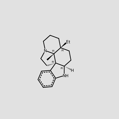 CC[C@@]12CCCN3CC[C@]4(c5ccccc5N[C@@H]4CC1)[C@]32C